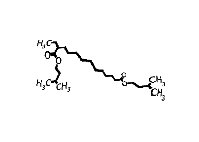 CCC(CCCCCCCCCCC(=O)OCCC(C)C)C(=O)OCCC(C)C